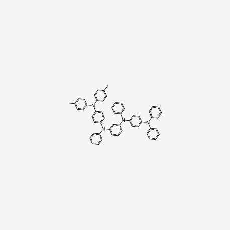 Cc1ccc(N(c2ccc(C)cc2)c2ccc(N(c3ccccc3)c3cccc(N(c4ccccc4)c4ccc(N(c5ccccc5)c5ccccc5)cc4)c3)cc2)cc1